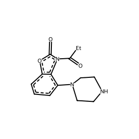 CCC(=O)n1c(=O)oc2cccc(N3CCNCC3)c21